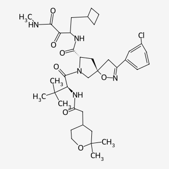 CNC(=O)C(=O)C(CC1CCC1)NC(=O)[C@@H]1C[C@]2(CC(c3cccc(Cl)c3)=NO2)CN1C(=O)[C@@H](NC(=O)CC1CCOC(C)(C)C1)C(C)(C)C